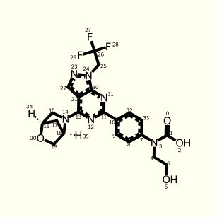 O=C(O)N(CCO)c1ccc(-c2nc(N3C[C@H]4C[C@@H]3CO4)c3cnn(CC(F)(F)F)c3n2)cc1